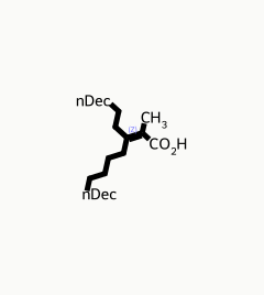 CCCCCCCCCCCCCC/C(CCCCCCCCCCCC)=C(/C)C(=O)O